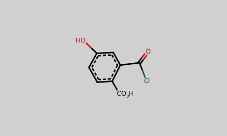 O=C(O)c1ccc(O)cc1C(=O)Cl